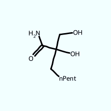 CCCCCCC(O)(CO)C(N)=O